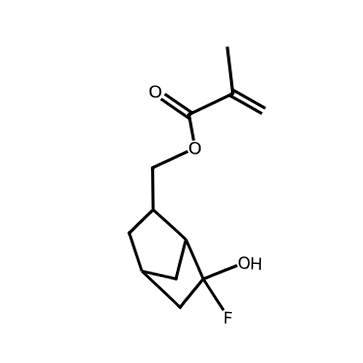 C=C(C)C(=O)OCC1CC2CC1C(O)(F)C2